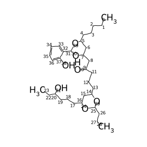 CCCCCC1CC(CC(O)CCCC2CC(CCCC(O)CC)OC(CCC)O2)OC(c2ccccc2O)O1